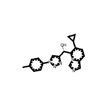 Cc1ccc(-n2cc([C@H](O)c3c(C4CC4)ccc4cncn34)nn2)cc1